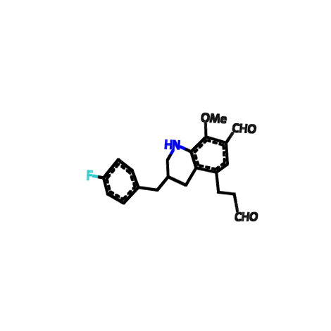 COc1c(C=O)cc(CCC=O)c2c1NCC(Cc1ccc(F)cc1)C2